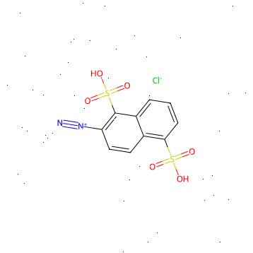 N#[N+]c1ccc2c(S(=O)(=O)O)cccc2c1S(=O)(=O)O.[Cl-]